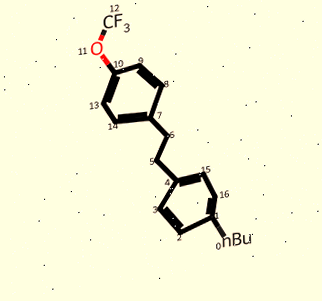 CCCCc1ccc(CCc2ccc(OC(F)(F)F)cc2)cc1